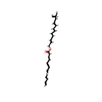 CCCCCCCCCCCC(=O)OCCCCCCCCCCC(C)C